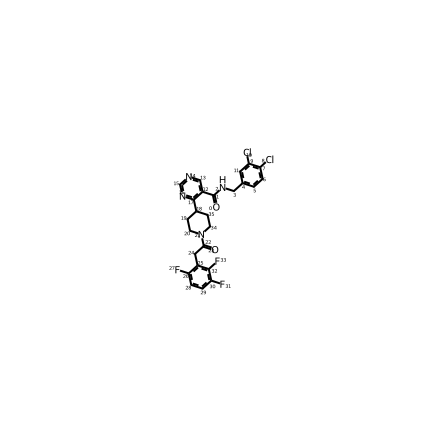 O=C(NCc1ccc(Cl)c(Cl)c1)c1cncnc1C1CCN(C(=O)Cc2c(F)ccc(F)c2F)CC1